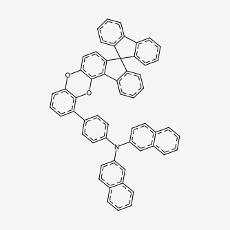 c1ccc2c(c1)-c1ccccc1C21c2ccccc2-c2c1ccc1c2Oc2c(cccc2-c2ccc(N(c3ccc4ccccc4c3)c3ccc4ccccc4c3)cc2)O1